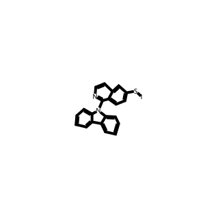 ISc1ccc2c(-n3c4ccccc4c4ccccc43)nccc2c1